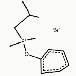 CC(C)C[P+](C)(C)Oc1ccccc1.[Br-]